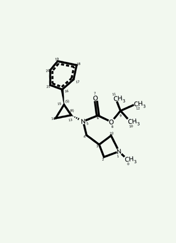 CN1CC(CN(C(=O)OC(C)(C)C)[C@@H]2C[C@H]2c2ccccc2)C1